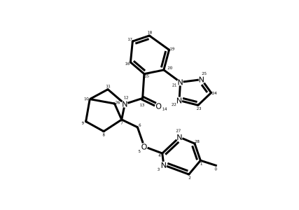 Cc1cnc(OCC23CCC(CN2C(=O)c2ccccc2-n2nccn2)C3)nc1